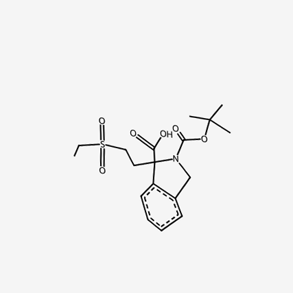 CCS(=O)(=O)CCC1(C(=O)O)c2ccccc2CN1C(=O)OC(C)(C)C